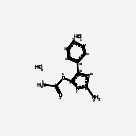 Cl.Cl.NC(=O)Oc1nc(N)sc1-c1ccccc1